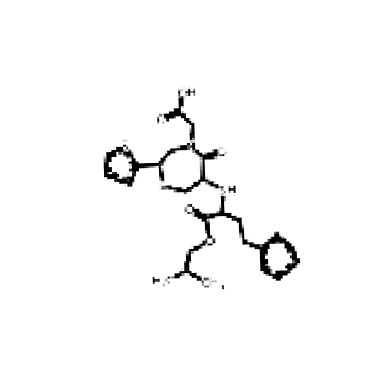 CC(C)COC(=O)C(CCc1ccccc1)NC1CSC(c2cccs2)CN(CC(=O)O)C1=O